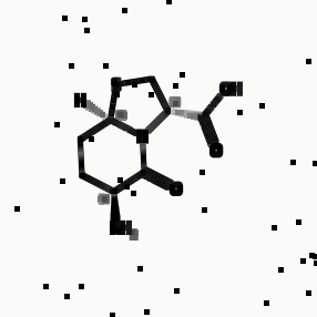 N[C@H]1CC[C@H]2SC[C@H](C(=O)O)N2C1=O